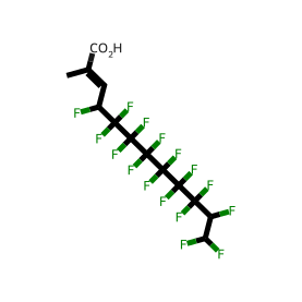 CC(=CC(F)C(F)(F)C(F)(F)C(F)(F)C(F)(F)C(F)(F)C(F)(F)C(F)C(F)F)C(=O)O